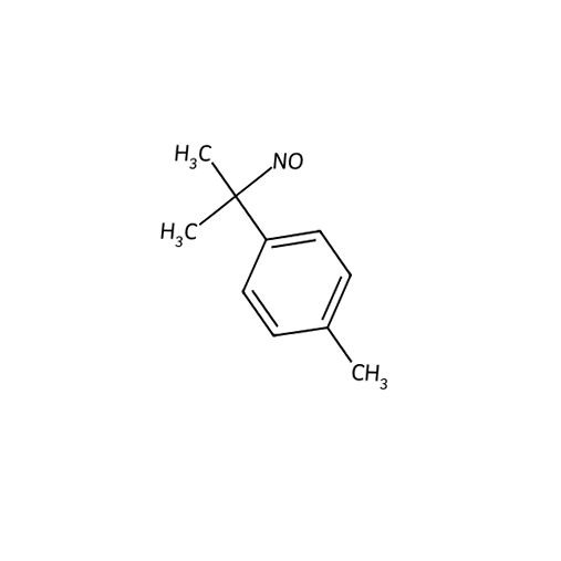 Cc1ccc(C(C)(C)N=O)cc1